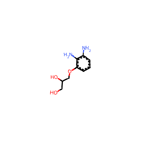 Nc1cccc(OCC(O)CO)c1N